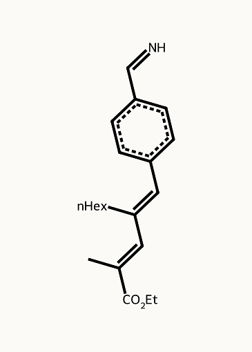 CCCCCCC(=C\c1ccc(C=N)cc1)/C=C(\C)C(=O)OCC